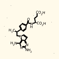 CC(Cn1ccc2nc(N)nc(N)c21)c1ccc(C(=O)N[C@H](CCC(=O)O)C(=O)O)cc1